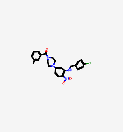 Cc1cccc(C(=O)N2CCN(c3ccc([N+](=O)[O-])c(NCc4ccc(Cl)cc4)c3)CC2)c1